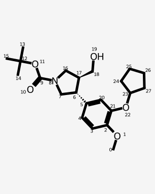 COc1ccc([C@@H]2CN(C(=O)OC(C)(C)C)C[C@H]2CO)cc1OC1CCCC1